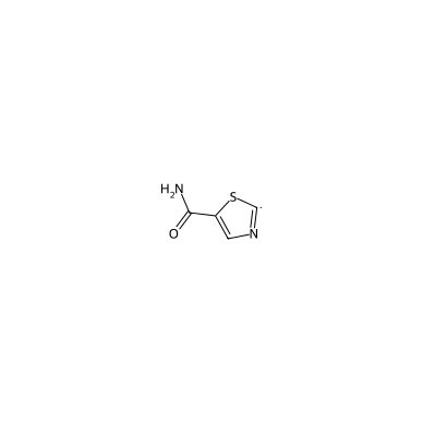 NC(=O)c1cn[c]s1